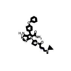 CN(C/C=C/C(=O)N1CC[C@@H](n2c(C(N)=O)c(-c3ccc(Oc4ccccc4)cc3)c3c(N)ncnc32)C1)C1CC1